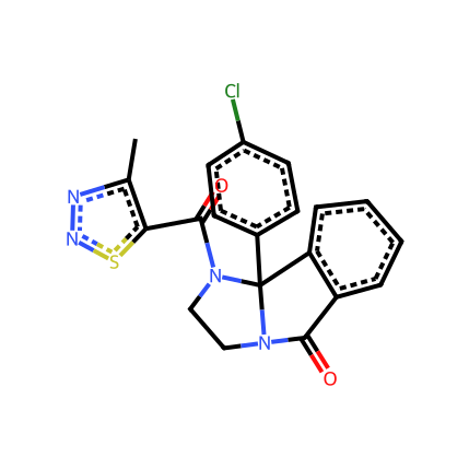 Cc1nnsc1C(=O)N1CCN2C(=O)c3ccccc3C21c1ccc(Cl)cc1